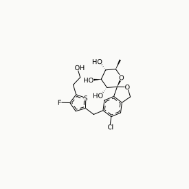 C[C@H]1O[C@]2(OCc3cc(Cl)c(Cc4cc(F)c(CCO)s4)cc32)[C@H](O)[C@@H](O)[C@@H]1O